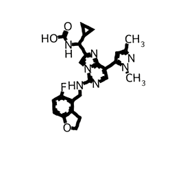 Cc1cc(-c2cnc(NCc3c(F)ccc4c3CCO4)n3cc(C(NC(=O)O)C4CC4)nc23)n(C)n1